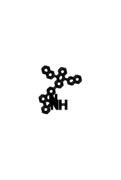 c1ccc2cc(-c3c4ccccc4c(-c4ccc5ccccc5c4)c4cc(-c5ccc(-c6cccc7c8ccccc8c8[nH]cnc8c67)cc5)ccc34)ccc2c1